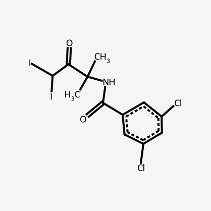 CC(C)(NC(=O)c1cc(Cl)cc(Cl)c1)C(=O)C(I)I